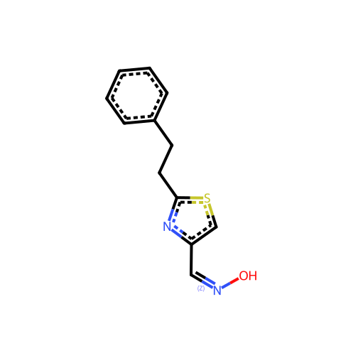 O/N=C\c1csc(CCc2ccccc2)n1